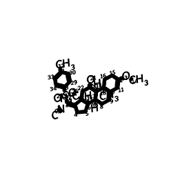 [C-]#[N+]/C(=C1\CC[C@H]2[C@@H]3CC=C4C=C(OC)CC[C@]4(C)[C@H]3C(=O)C[C@]12C)S(=O)(=O)c1ccc(C)cc1